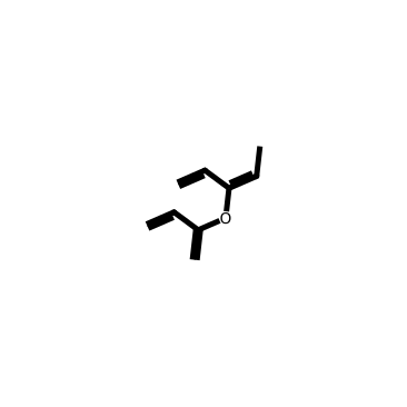 C=CC(=C)O/C(C=C)=C/C